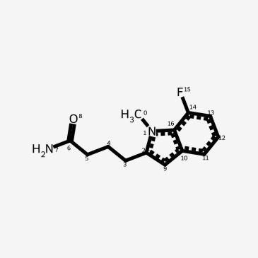 Cn1c(CCCC(N)=O)cc2cccc(F)c21